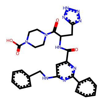 O=C(NC(Cc1nn[nH]n1)C(=O)N1CCN(C(=O)O)CC1)c1cc(NCc2ccccc2)nc(-c2ccccc2)n1